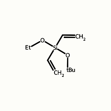 C=C[Si](C=C)(OCC)OC(C)(C)C